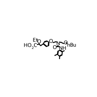 CCCCOCCN(CCOc1ccc(CC(OCC)C(=O)O)cc1)C(=O)Nc1cc(C)c(C)cc1C